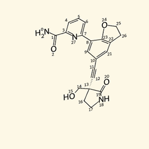 NC(=O)c1cccc(-c2cc(C#C[C@@]3(CO)CCNC3=O)cc3c2OCC3)n1